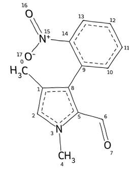 Cc1cn(C)c(C=O)c1-c1ccccc1[N+](=O)[O-]